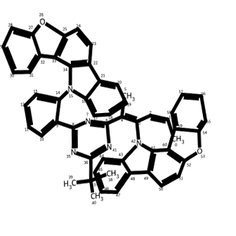 C/C=C\C(=C(/C)c1nc(-c2ccccc2-n2c3ccccc3c3ccc4oc5ccccc5c4c32)nc(C(C)(C)C)n1)n1c2ccccc2c2ccc3oc4ccccc4c3c21